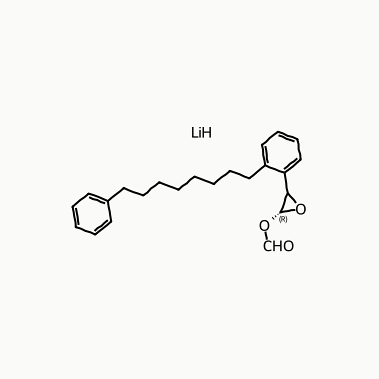 O=CO[C@H]1OC1c1ccccc1CCCCCCCCc1ccccc1.[LiH]